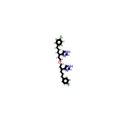 Fc1ccc(CCCC(CCOCCC(CCCc2ccc(F)cc2)c2c[nH]cn2)c2c[nH]cn2)cc1